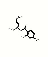 CSCCC(NC(C)c1ccc(O)cc1O)C(=O)O